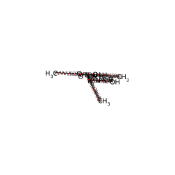 CCCCCCCCCCCCCCCOC(=O)/C=C/CN(C/C=C/C(=O)OCCCCCCCCCCCCCCC)CC(O)CN(CCCCCCCCCCCCCC)CCCCNCC(O)CNC/C=C/C(=O)O